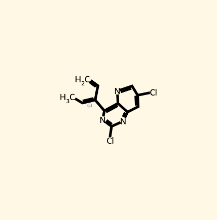 C=C/C(=C\C)c1nc(Cl)nc2cc(Cl)cnc12